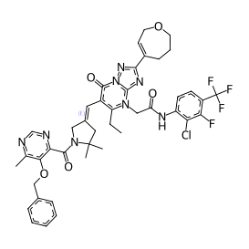 CCc1c(/C=C2/CN(C(=O)c3ncnc(C)c3OCc3ccccc3)C(C)(C)C2)c(=O)n2nc(C3=CCOCCC3)nc2n1CC(=O)Nc1ccc(C(F)(F)F)c(F)c1Cl